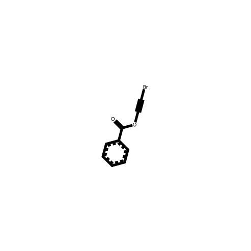 O=C(OC#CBr)c1ccccc1